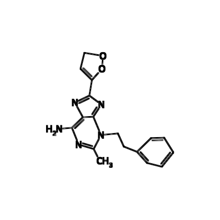 Cc1nc(N)c2nc(C3=CCOO3)nc-2n1CCc1ccccc1